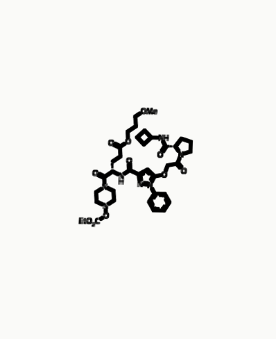 CCOC(=O)ON1CCN(C(=O)[C@H](CCC(=O)OCCCOC)NC(=O)c2cc(OCC(=O)N3CCC[C@H]3C(=O)NC3CCC3)n(-c3ccccc3)n2)CC1